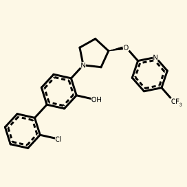 Oc1cc(-c2ccccc2Cl)ccc1N1CC[C@@H](Oc2ccc(C(F)(F)F)cn2)C1